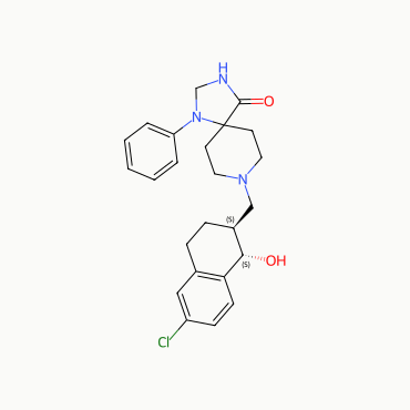 O=C1NCN(c2ccccc2)C12CCN(C[C@@H]1CCc3cc(Cl)ccc3[C@H]1O)CC2